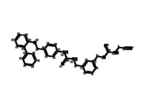 O=C([O-])CNC(=O)OC[n+]1cccc(CNC(=O)Nc2ccc(COc3ccccc3-c3ccccc3)cc2)c1